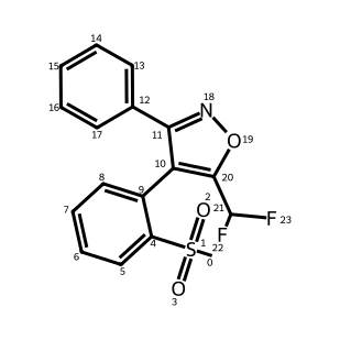 CS(=O)(=O)c1ccccc1-c1c(-c2ccccc2)noc1C(F)F